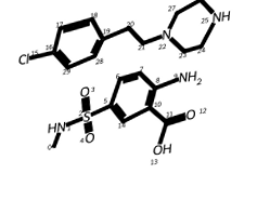 CNS(=O)(=O)c1ccc(N)c(C(=O)O)c1.Clc1ccc(CCN2CCNCC2)cc1